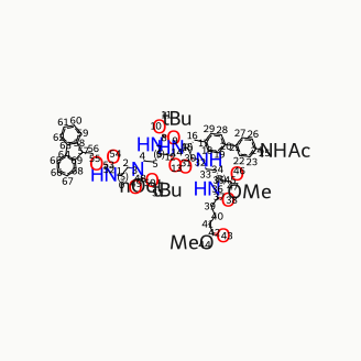 CCCCCCCC[C@@H](CN(CC[C@H](NC(=O)OC(C)(C)C)C(=O)N[C@H](Cc1ccc(-c2ccc(NC(C)=O)cc2)cc1)C(=O)NCC[C@@H](NC(=O)CCCC(=O)OC)C(=O)OC)C(=O)OC(C)(C)C)NC(=O)OCC1c2ccccc2-c2ccccc21